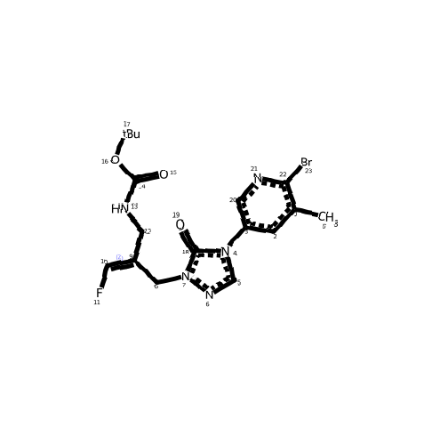 Cc1cc(-n2cnn(C/C(=C\F)CNC(=O)OC(C)(C)C)c2=O)cnc1Br